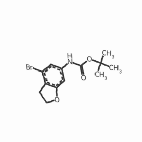 CC(C)(C)OC(=O)Nc1cc(Br)c2c(c1)OCC2